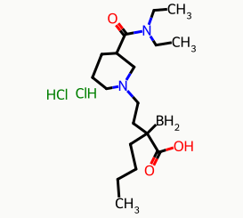 BC(CCCC)(CCN1CCCC(C(=O)N(CC)CC)C1)C(=O)O.Cl.Cl